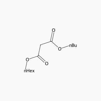 CCCCCCOC(=O)CC(=O)OCCCC